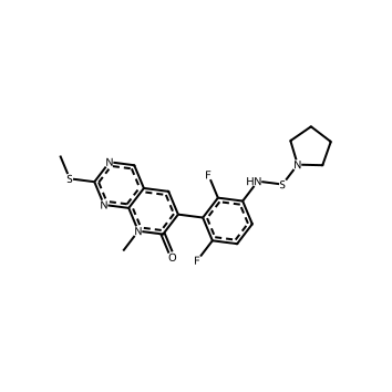 CSc1ncc2cc(-c3c(F)ccc(NSN4CCCC4)c3F)c(=O)n(C)c2n1